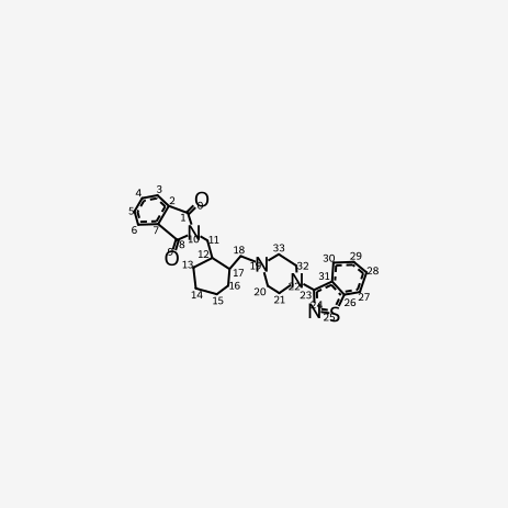 O=C1c2ccccc2C(=O)N1CC1CCCCC1CN1CCN(c2nsc3ccccc23)CC1